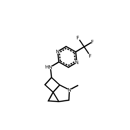 CN1CC2CC23CC(Nc2cnc(C(F)(F)F)cn2)C13